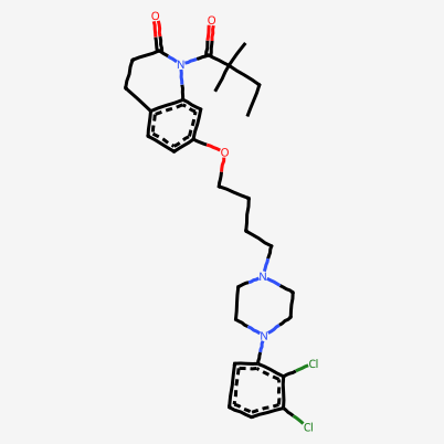 CCC(C)(C)C(=O)N1C(=O)CCc2ccc(OCCCCN3CCN(c4cccc(Cl)c4Cl)CC3)cc21